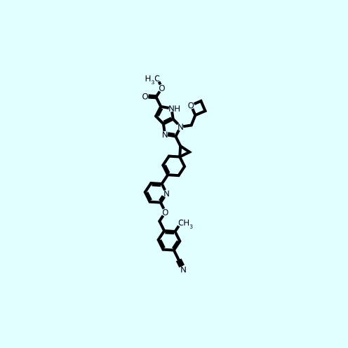 COC(=O)c1cc2nc(C3CC34CC=C(c3cccc(OCc5ccc(C#N)cc5C)n3)CC4)n(CC3CCO3)c2[nH]1